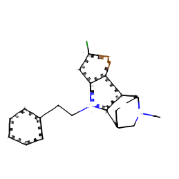 CN1CC2CCC1c1c2n(CCc2ccccc2)c2cc(Cl)sc12